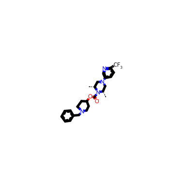 C[C@@H]1CN(c2ccc(C(F)(F)F)nc2)C[C@H](C)N1C(=O)OC1CCN(Cc2ccccc2)CC1